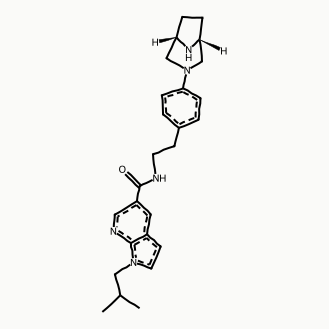 CC(C)Cn1ccc2cc(C(=O)NCCc3ccc(N4C[C@H]5CC[C@@H](C4)N5)cc3)cnc21